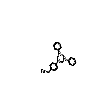 BrCc1ccc(N2CN(c3ccccc3)CN(c3ccccc3)C2)cc1